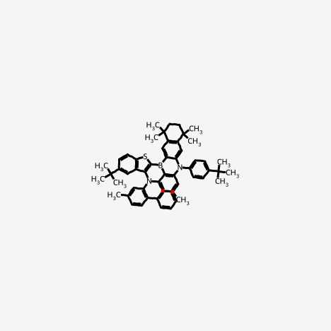 Cc1ccc(-c2ccccc2)c(N2c3cc(C)cc4c3B(c3cc5c(cc3N4c3ccc(C(C)(C)C)cc3)C(C)(C)CCC5(C)C)c3sc4ccc(C(C)(C)C)cc4c32)c1